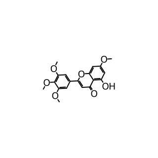 COc1cc(O)c2c(=O)cc(-c3cc(OC)c(OC)c(OC)c3)oc2c1